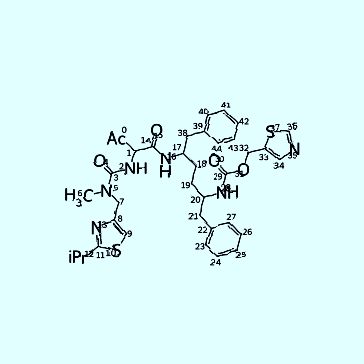 CC(=O)C(NC(=O)N(C)Cc1csc(C(C)C)n1)C(=O)NC(CCC(Cc1ccccc1)NC(=O)OCc1cncs1)Cc1ccccc1